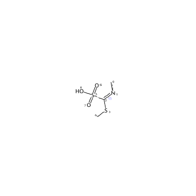 C/N=C(/SC)S(=O)(=O)O